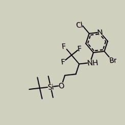 CC(C)(C)[Si](C)(C)OCCC(Nc1cc(Cl)ncc1Br)C(F)(F)F